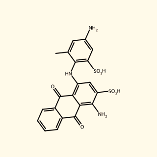 Cc1cc(N)cc(S(=O)(=O)O)c1Nc1cc(S(=O)(=O)O)c(N)c2c1C(=O)c1ccccc1C2=O